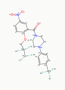 O=C(c1cc([N+](=O)[O-])ccc1OCC(F)(F)C(F)F)N1CCN(c2ccc(C(F)(F)F)cc2)CC1